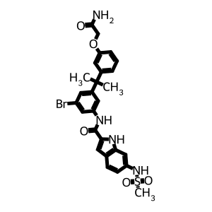 CC(C)(c1cc(Br)cc(NC(=O)c2cc3ccc(NS(C)(=O)=O)cc3[nH]2)c1)c1cccc(OCC(N)=O)c1